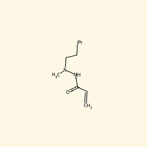 C=CC(=O)NN(C)CCC(C)C